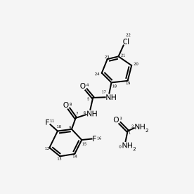 NC(N)=O.O=C(NC(=O)c1c(F)cccc1F)Nc1ccc(Cl)cc1